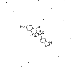 C[C@H]1[C@H]2C(O)c3ccc(O)cc3[C@]1(C)CCN2C(=O)c1ccc2nc[nH]c2c1